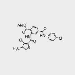 COC(=O)c1ccc(C(=O)Nc2ccc(Cl)cc2)cc1NC(=O)c1scc(C)c1Cl